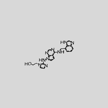 OCCn1ccnc1Nn1ccc2c(NCc3cccc4nc[nH]c34)ncnc21